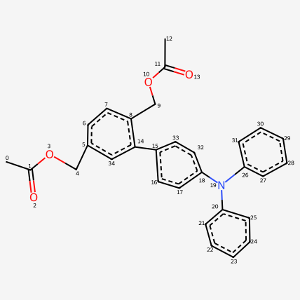 CC(=O)OCc1ccc(COC(C)=O)c(-c2ccc(N(c3ccccc3)c3ccccc3)cc2)c1